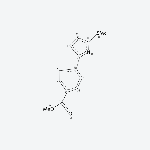 COC(=O)c1ccc(-c2csc(SC)n2)cc1